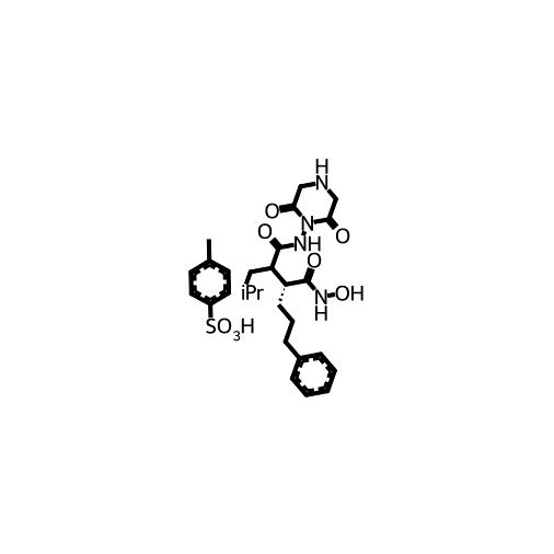 CC(C)CC(C(=O)NN1C(=O)CNCC1=O)[C@@H](CCCc1ccccc1)C(=O)NO.Cc1ccc(S(=O)(=O)O)cc1